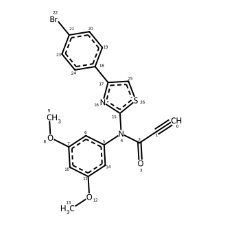 C#CC(=O)N(c1cc(OC)cc(OC)c1)c1nc(-c2ccc(Br)cc2)cs1